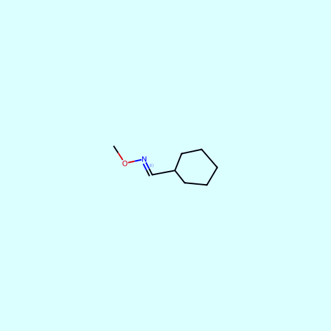 CO/N=C/C1CCCCC1